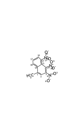 [CH2]c1cc([N+](=O)[O-])c([N+](=O)[O-])c2c([N+](=O)[O-])cccc12